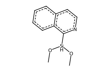 CO[SiH](OC)c1nccc2ccccc12